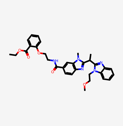 CCOC(=O)c1ccccc1OCCNC(=O)c1ccc2nc(C(C)c3nc4ccccc4n3CCOC)n(C)c2c1